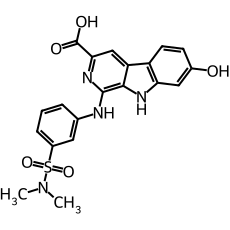 CN(C)S(=O)(=O)c1cccc(Nc2nc(C(=O)O)cc3c2[nH]c2cc(O)ccc23)c1